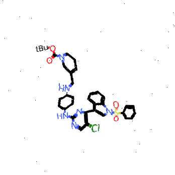 CC(C)(C)OC(=O)N1CCCC(CN[C@H]2CC[C@H](Nc3ncc(Cl)c(-c4cn(S(=O)(=O)c5ccccc5)c5ccccc45)n3)CC2)C1